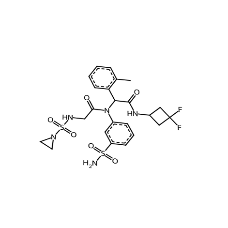 Cc1ccccc1C(C(=O)NC1CC(F)(F)C1)N(C(=O)CNS(=O)(=O)N1CC1)c1cccc(S(N)(=O)=O)c1